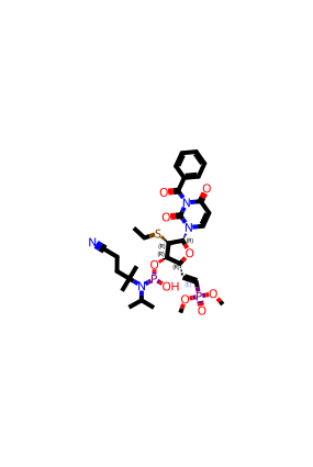 CCS[C@@H]1[C@H](OP(O)N(C(C)C)C(C)(C)CCC#N)[C@@H](/C=C/P(=O)(OC)OC)O[C@H]1n1ccc(=O)n(C(=O)c2ccccc2)c1=O